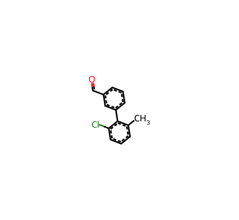 Cc1cccc(Cl)c1-c1cccc(C=O)c1